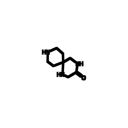 O=C1CNC2(CCNCC2)CN1